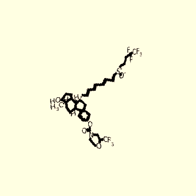 C[C@]12CC[C@@H]3c4ccc(OC(=O)N5CCOC(C(F)(F)F)C5)cc4C[C@@H](CCCCCCCCC[S+]([O-])CCCC(F)(F)C(F)(F)F)[C@H]3[C@@H]1CC[C@@H]2O